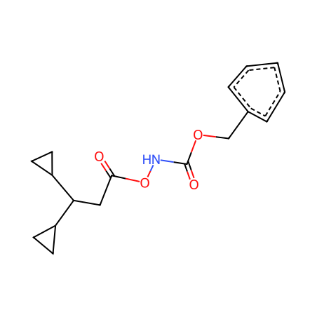 O=C(CC(C1CC1)C1CC1)ONC(=O)OCc1ccccc1